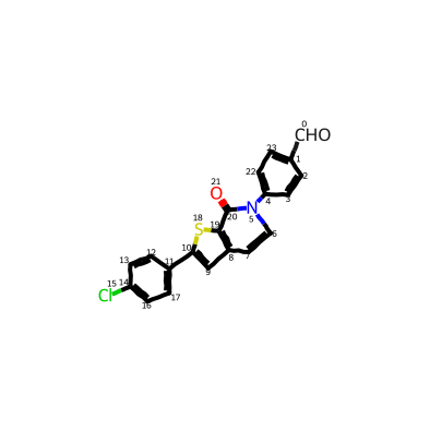 O=Cc1ccc(-n2ccc3cc(-c4ccc(Cl)cc4)sc3c2=O)cc1